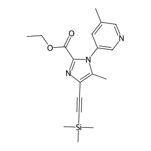 CCOC(=O)c1nc(C#C[Si](C)(C)C)c(C)n1-c1cncc(C)c1